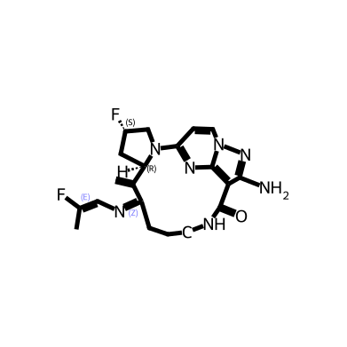 C=C1/C(=N\C=C(/C)F)CCCNC(=O)c2c(N)nn3ccc(nc23)N2C[C@@H](F)C[C@H]12